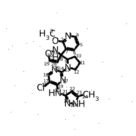 COc1ncccc1C1(C2CCCN2c2ncc(Cl)c(Nc3cc(C)[nH]n3)n2)C=CON1